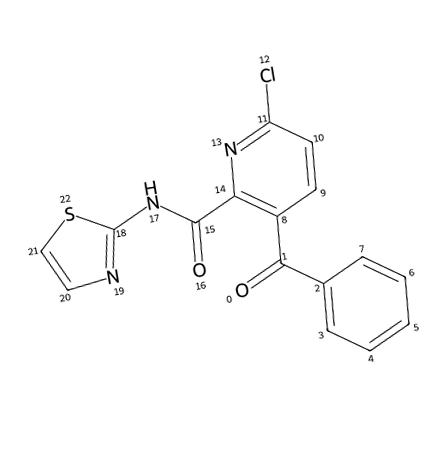 O=C(c1ccccc1)c1ccc(Cl)nc1C(=O)Nc1nccs1